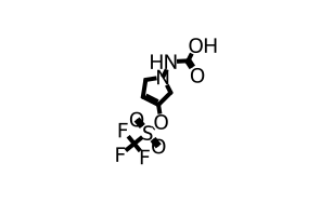 O=C(O)NN1CC=C(OS(=O)(=O)C(F)(F)F)C1